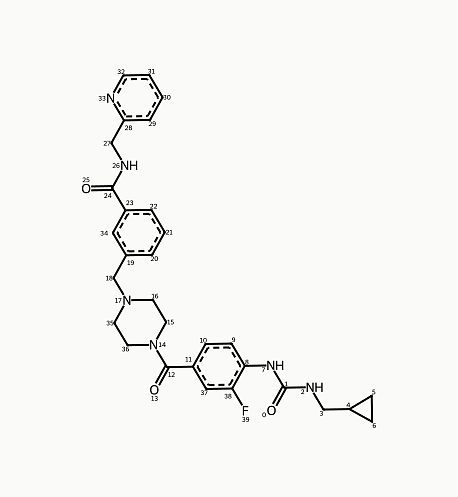 O=C(NCC1CC1)Nc1ccc(C(=O)N2CCN(Cc3cccc(C(=O)NCc4ccccn4)c3)CC2)cc1F